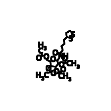 CC(=O)OCC1OC(NC(=O)CCCCC2CCSS2)C(OC(C)=O)C(OC(C)=O)C1OC(C)=O